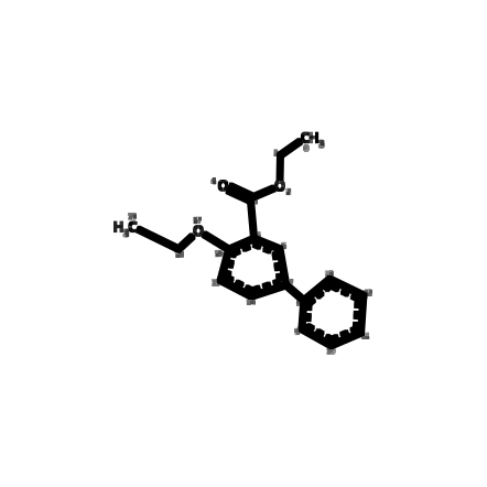 CCOC(=O)c1cc(-c2ccccc2)ccc1OCC